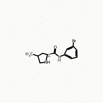 CC1CN[C@H](C(=O)Nc2cccc(Br)c2)C1